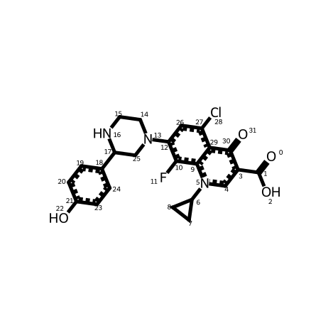 O=C(O)c1cn(C2CC2)c2c(F)c(N3CCNC(c4ccc(O)cc4)C3)cc(Cl)c2c1=O